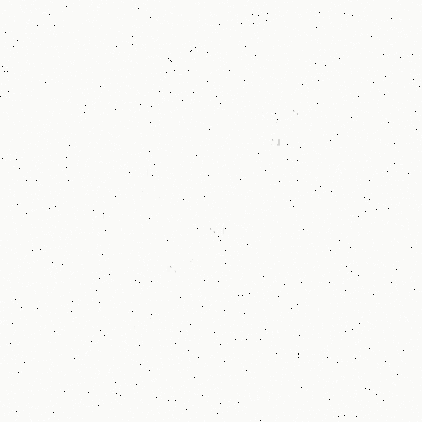 O=C(O)C(F)(F)F.O=C(O)CC(NC(=O)CNC(=O)CCCCNC(=O)Nc1ccccc1)c1ccc(-c2ccccc2)cc1